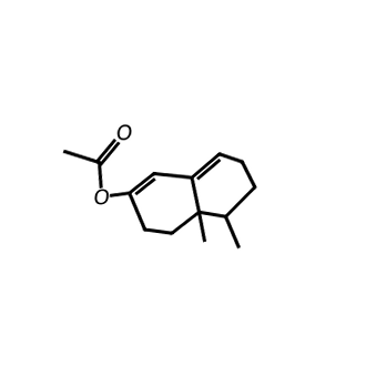 CC(=O)OC1=CC2=CCCC(C)C2(C)CC1